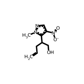 C=CCC(CO)c1c([N+](=O)[O-])cnn1C